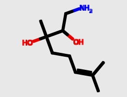 CC(C)=CCCC(C)(O)C(O)CN